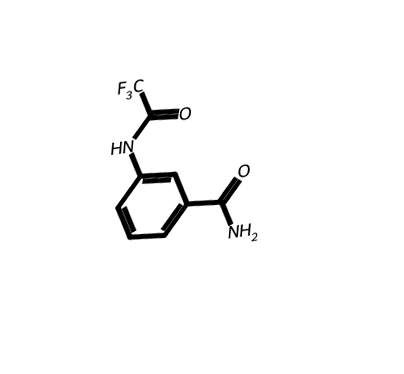 NC(=O)c1cccc(NC(=O)C(F)(F)F)c1